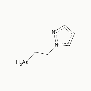 [AsH2]CCn1cccn1